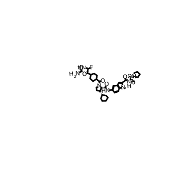 Cn1c(C(=O)NS(=O)(=O)N2CCCC2)cc2cc(NC(=O)[C@@H]3[C@H](C4CCCCC4)CCN3C(=O)C3CCC([C@H](OC(N)=O)C(F)C(C)(C)C)CC3)ccc21